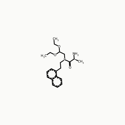 CCOC(CN(CCc1cccc2ccccc12)C(=O)[C@H](C)N)OCC